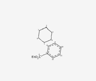 C1CCCCC1.CCOC(=O)c1ccccc1